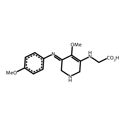 COC1=C(NCC(=O)O)CNC/C1=N\c1ccc(OC)cc1